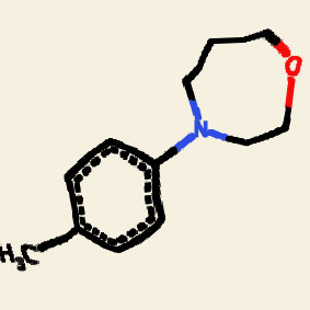 Cc1ccc(N2CCCOCC2)cc1